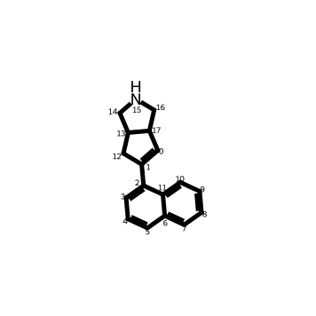 C1=C(c2cccc3ccccc23)CC2CNCC12